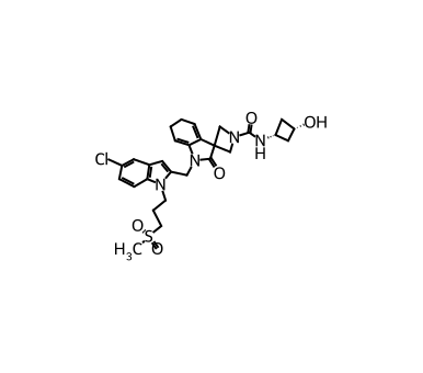 CS(=O)(=O)CCCn1c(CN2C(=O)C3(CN(C(=O)N[C@H]4C[C@@H](O)C4)C3)C3=CCCC=C32)cc2cc(Cl)ccc21